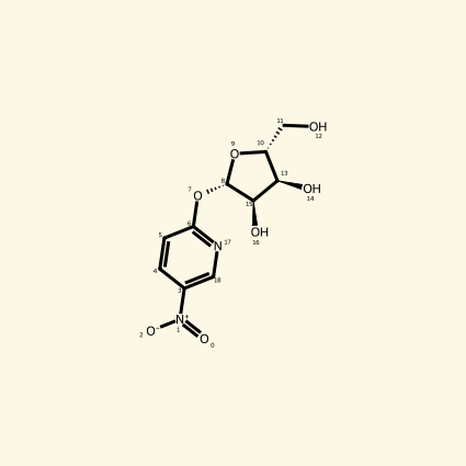 O=[N+]([O-])c1ccc(O[C@@H]2O[C@H](CO)[C@@H](O)[C@H]2O)nc1